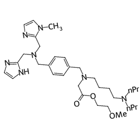 CCCN(CCC)CCCCN(CC(=O)OCCOC)Cc1ccc(CN(Cc2ncc[nH]2)Cc2nccn2C)cc1